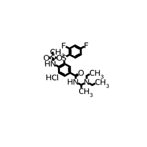 CCN(CC)C(C)NC(=O)c1ccc(NS(C)(=O)=O)c(Sc2ccc(F)cc2F)c1.Cl